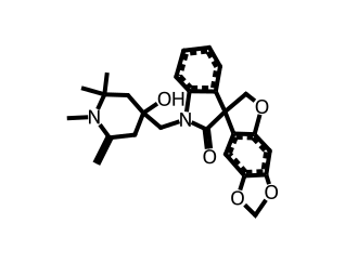 C=C1CC(O)(CN2C(=O)C3(COc4cc5c(cc43)OCO5)c3ccccc32)CC(C)(C)N1C